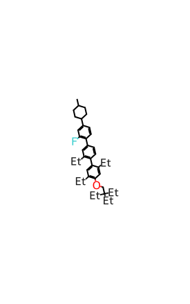 CCc1cc(-c2ccc(-c3ccc(C4CCC(C)CC4)cc3F)cc2CC)c(CC)cc1OCC(CC)(CC)CC